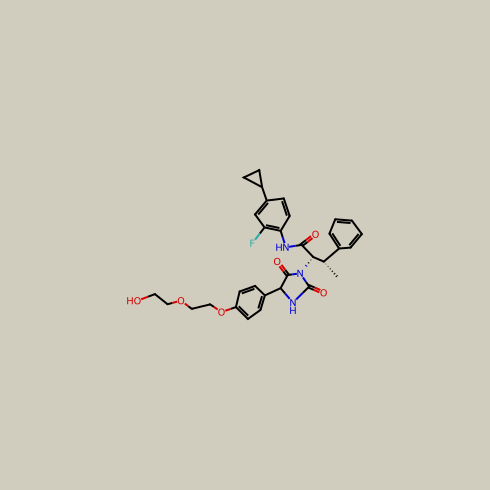 C[C@@H](c1ccccc1)[C@@H](C(=O)Nc1ccc(C2CC2)cc1F)N1C(=O)NC(c2ccc(OCCOCCO)cc2)C1=O